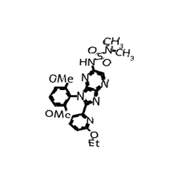 CCOc1cccc(-c2nc3ncc(NS(=O)(=O)N(C)C)nc3n2-c2c(OC)cccc2OC)n1